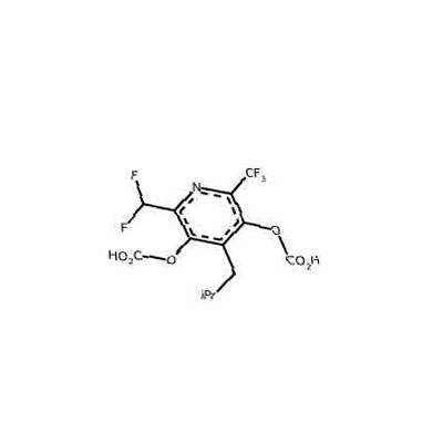 CC(C)Cc1c(OC(=O)O)c(C(F)F)nc(C(F)(F)F)c1OC(=O)O